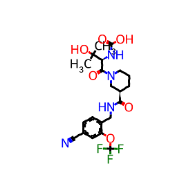 CC(C)(O)[C@@H](NC(=O)O)C(=O)N1CCC[C@@H](C(=O)NCc2ccc(C#N)cc2OC(F)(F)F)C1